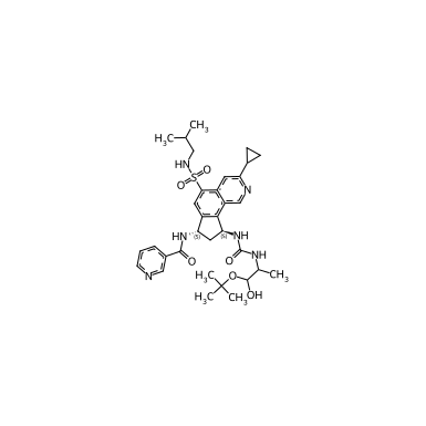 CC(C)CNS(=O)(=O)c1cc2c(c3cnc(C4CC4)cc13)[C@@H](NC(=O)NC(C)C(O)OC(C)(C)C)C[C@@H]2NC(=O)c1cccnc1